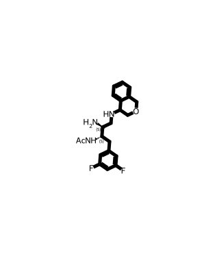 CC(=O)N[C@@H](Cc1cc(F)cc(F)c1)[C@@H](N)CNC1COCc2ccccc21